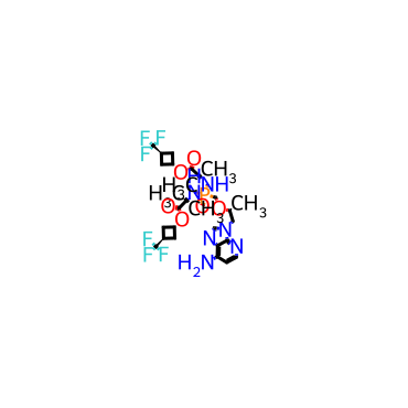 C[C@H](Cn1cnc2c(N)ccnc21)OCP(=O)(NC(C)(C)C(=O)O[C@H]1C[C@H](C(F)(F)F)C1)NC(C)(C)C(=O)O[C@H]1C[C@H](C(F)(F)F)C1